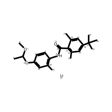 COC(C)Oc1ccc(PC(=O)c2c(C)cc(C(C)(C)C)cc2C)c(C)c1.[Li]